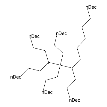 CCCCCCCCCCCCCCCC(CCCCCCCCCCCC)C(CCCCCCCCCCCC)(CCCCCCCCCCCC)[C](CCCCCCCCCCCC)CCCCCCCCCCCC